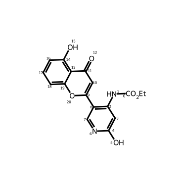 CCOC(=O)Nc1cc(O)ncc1-c1cc(=O)c2c(O)cccc2o1